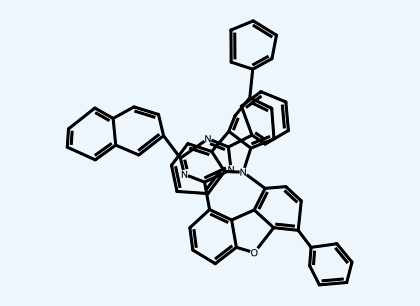 c1ccc(-c2ccc3c(c2)c2ccccc2n3-c2ccc(-c3ccccc3)c3oc4cccc(-c5nc(-c6ccccc6)nc(-c6ccc7ccccc7c6)n5)c4c23)cc1